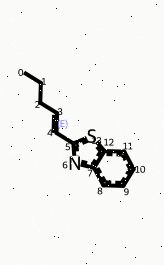 CCC/C=C/c1nc2ccccc2s1